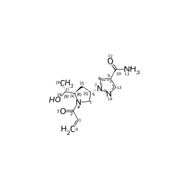 C=CC(=O)N1C[C@@H](n2cc(C(N)=O)cn2)C[C@@H]1[C@@H](C)O